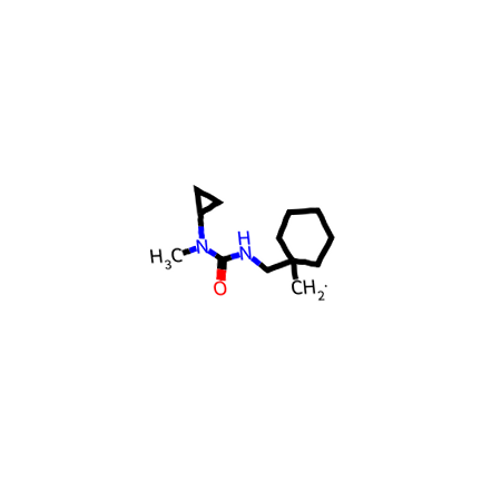 [CH2]C1(CNC(=O)N(C)C2CC2)CCCCC1